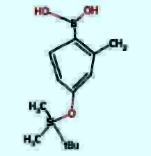 Cc1cc(O[Si](C)(C)C(C)(C)C)ccc1B(O)O